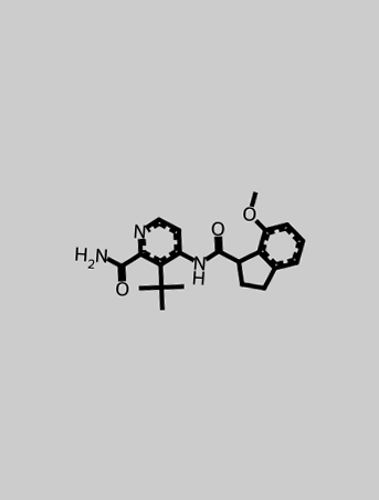 COc1cccc2c1C(C(=O)Nc1ccnc(C(N)=O)c1C(C)(C)C)CC2